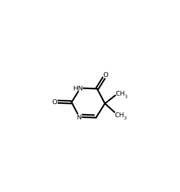 CC1(C)C=NC(=O)NC1=O